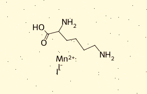 NCCCCC(N)C(=O)O.[I-].[I-].[Mn+2]